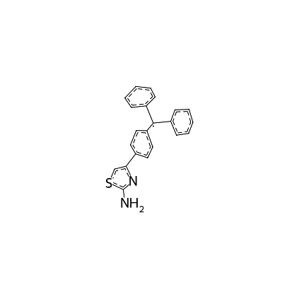 Nc1nc(-c2ccc([C](c3ccccc3)c3ccccc3)cc2)cs1